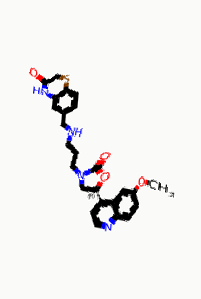 COc1ccc2nccc([C@@H]3CN(CCCNCc4ccc5c(c4)NC(=O)CS5)C(=O)O3)c2c1